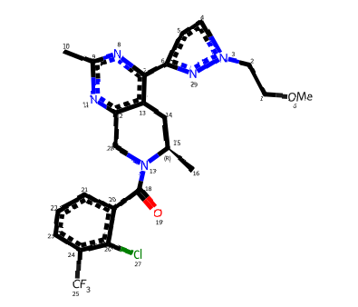 COCCn1ccc(-c2nc(C)nc3c2C[C@@H](C)N(C(=O)c2cccc(C(F)(F)F)c2Cl)C3)n1